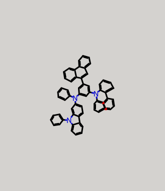 c1ccc(-c2ccccc2N(c2ccccc2)c2cc(-c3cc4ccccc4c4ccccc34)cc(N(c3ccccc3)c3ccc4c5ccccc5n(-c5ccccc5)c4c3)c2)cc1